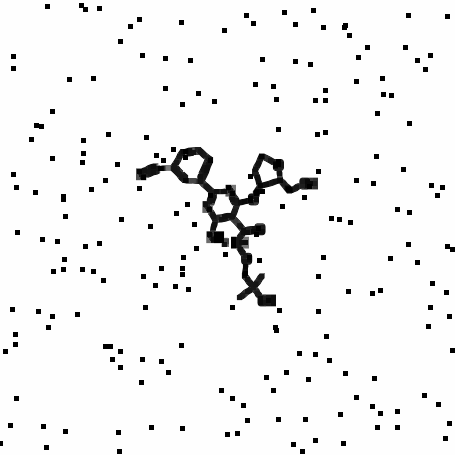 CC(C)(O)CONC(=O)c1c(N)nc(-c2cccc(C#N)c2)nc1O[C@H]1CCO[C@H]1CO